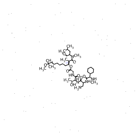 CNC(C(=O)NC(CN)C(=O)NC(C(=O)NCC(=O)O/C(CCCCCCC(C)(C)OC)=C(/C)C(=O)N(C)C(C=O)CC(C)C)C(C)O)C1CCCCC1